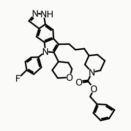 O=C(OCc1ccccc1)N1CCCC(CCCc2c(C3CCOCC3)n(-c3ccc(F)cc3)c3cc4cn[nH]c4cc23)C1